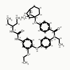 CCOc1cc(NC(=O)NC(CC)CC)ccc1Oc1ccc(N(CC)C(=O)c2ccc(OC34CCCC(CC3)N4C)cc2)cc1